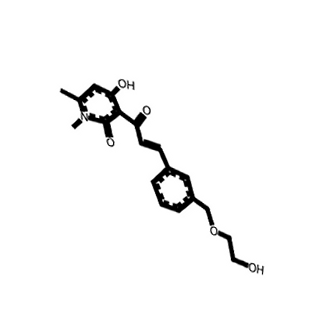 Cc1cc(O)c(C(=O)/C=C/c2cccc(COCCO)c2)c(=O)n1C